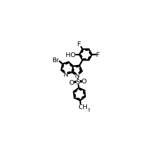 Cc1ccc(S(=O)(=O)n2cc(-c3cc(F)cc(F)c3O)c3cc(Br)cnc32)cc1